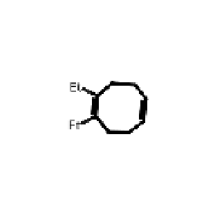 CCC1=C(CC)CCC=CCC1